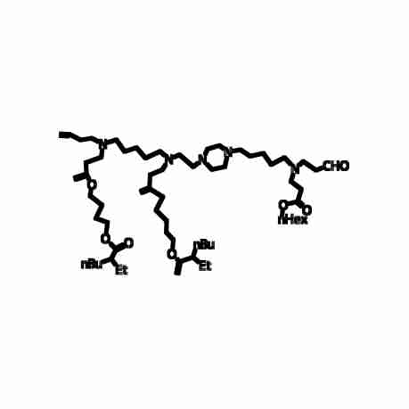 C=CCCN(CCCCCN(CCC(=C)CCCCCOC(=C)C(CC)CCCC)CCN1CCN(CCCCCN(CCC=O)CCC(=O)OCCCCCC)CC1)CCC(=C)OCCCCOC(=O)C(CC)CCCC